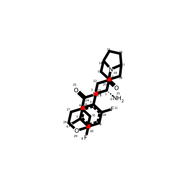 N[C@H](Cc1cc(F)c(F)cc1F)C1CC2CCC(C1)N2C(=O)CNC(=O)C1CCOCC1